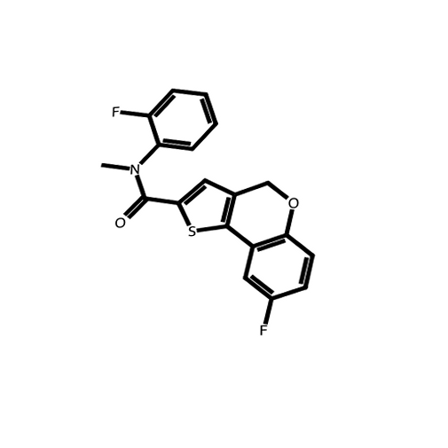 CN(C(=O)c1cc2c(s1)-c1cc(F)ccc1OC2)c1ccccc1F